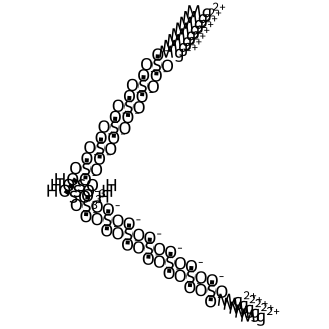 O=S(=O)(O)O.O=S(=O)(O)O.O=S(=O)(O)O.O=S(=O)([O-])[O-].O=S(=O)([O-])[O-].O=S(=O)([O-])[O-].O=S(=O)([O-])[O-].O=S(=O)([O-])[O-].O=S(=O)([O-])[O-].O=S(=O)([O-])[O-].O=S(=O)([O-])[O-].O=S(=O)([O-])[O-].O=S(=O)([O-])[O-].O=S(=O)([O-])[O-].O=S(=O)([O-])[O-].O=S(=O)([O-])[O-].[Mg+2].[Mg+2].[Mg+2].[Mg+2].[Mg+2].[Mg+2].[Mg+2].[Mg+2].[Mg+2].[Mg+2].[Mg+2].[Mg+2].[Mg+2]